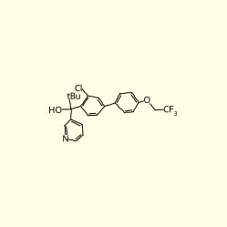 CC(C)(C)C(O)(c1cccnc1)c1ccc(-c2ccc(OCC(F)(F)F)cc2)cc1Cl